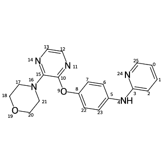 c1ccc(Nc2ccc(Oc3nccnc3N3CCOCC3)cc2)nc1